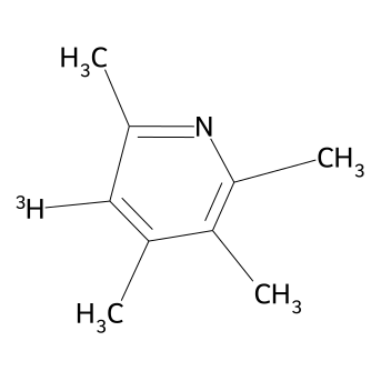 [3H]c1c(C)nc(C)c(C)c1C